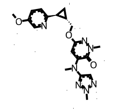 COc1ccc([C@H]2C[C@@H]2COc2cc(N(C)c3cnn(C)n3)c(=O)n(C)n2)nc1